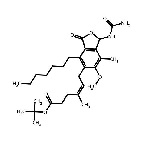 CCCCCCCc1c(CC=C(C)CCC(=O)OC(C)(C)C)c(OC)c(C)c2c1C(=O)OC2NC(N)=O